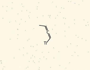 CC=C=[CH][Ti]